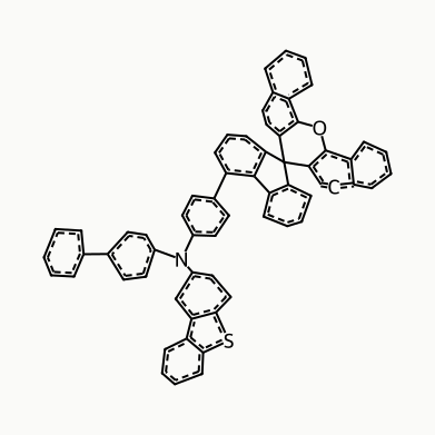 c1ccc(-c2ccc(N(c3ccc(-c4cccc5c4-c4ccccc4C54c5ccc6ccccc6c5Oc5c4ccc4ccccc54)cc3)c3ccc4sc5ccccc5c4c3)cc2)cc1